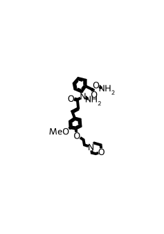 COc1cc(/C=C/C(=O)N(N)c2ccccc2C(=O)ON)ccc1OCCN1CCOCC1